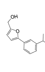 CC(C)c1cccc(-c2ccc(CO)o2)c1